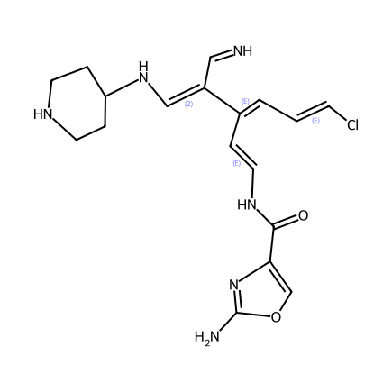 N=CC(=C\NC1CCNCC1)/C(/C=C/NC(=O)c1coc(N)n1)=C/C=C/Cl